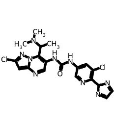 CC(c1c(NC(=O)Nc2cnc(C3N=CC=N3)c(Cl)c2)cnc2cc(Cl)nn12)N(C)C